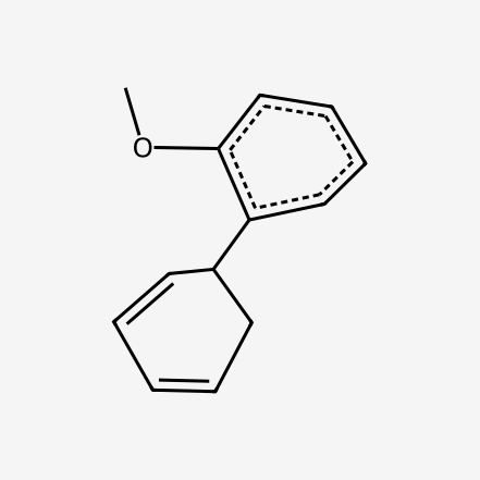 COc1ccccc1C1C=CC=CC1